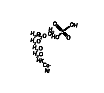 O.O.O.O.O.O.O=S(=O)(O)O.[Co].[KH].[Ni]